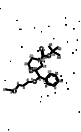 COCCCOC(c1ccccc1)C1CN(C(=O)OC(C)(C)C)CCO1